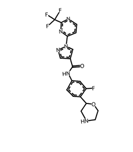 O=C(Nc1ccc(C2CNCCO2)c(F)c1)c1cnn(-c2ccnc(C(F)(F)F)n2)c1